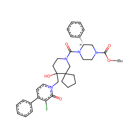 CC(C)(C)OC(=O)N1CCN(C(=O)N2CCC(O)(Cn3ccc(-c4ccccc4)c(F)c3=O)C3(CCCC3)C2)[C@H](c2ccccc2)C1